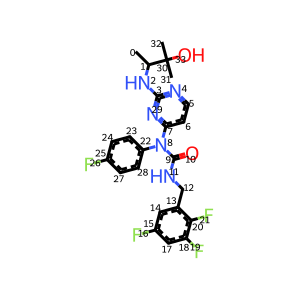 CC(Nc1nccc(N(C(=O)NCc2cc(F)cc(F)c2F)c2ccc(F)cc2)n1)C(C)(C)O